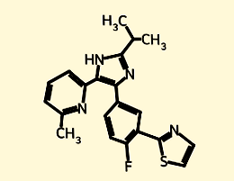 Cc1cccc(-c2[nH]c(C(C)C)nc2-c2ccc(F)c(-c3nccs3)c2)n1